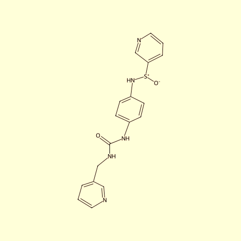 O=C(NCc1cccnc1)Nc1ccc(N[S+]([O-])c2cccnc2)cc1